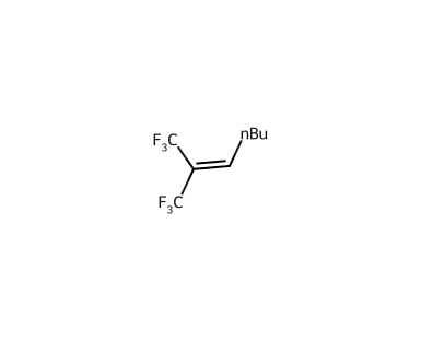 CCCCC=C(C(F)(F)F)C(F)(F)F